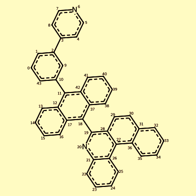 c1cc(-c2ccncc2)cc(-c2c3ccccc3c(-c3nc4ccccc4c4c3ccc3ccccc34)c3ccccc23)c1